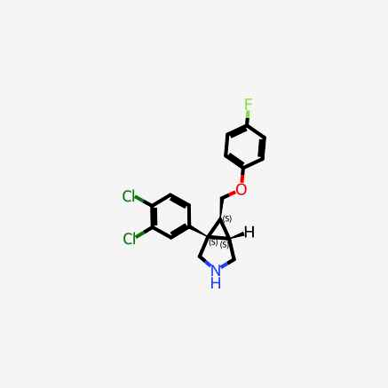 Fc1ccc(OC[C@H]2[C@@H]3CNC[C@@]32c2ccc(Cl)c(Cl)c2)cc1